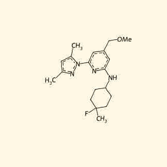 COCc1cc(NC2CCC(C)(F)CC2)nc(-n2nc(C)cc2C)c1